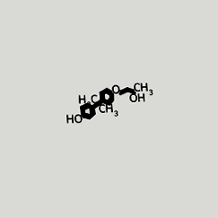 CC(O)CCOc1ccc(C(C)(C)c2ccc(O)cc2)cc1